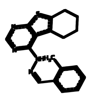 Cc1ccccc1/C=N\Nc1ncnc2sc3c(c12)CCCC3